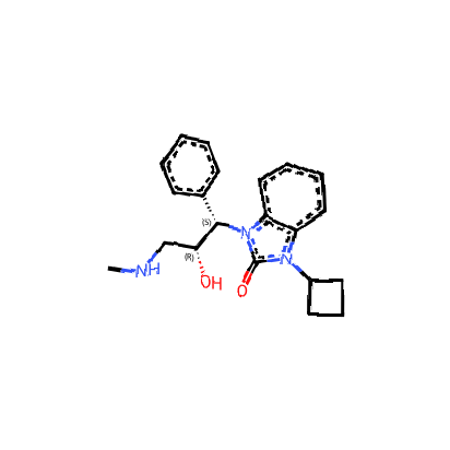 CNC[C@@H](O)[C@H](c1ccccc1)n1c(=O)n(C2CCC2)c2ccccc21